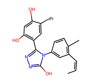 C/C=C\c1cc(-n2c(O)nnc2-c2cc(C(C)C)c(O)cc2O)ccc1C